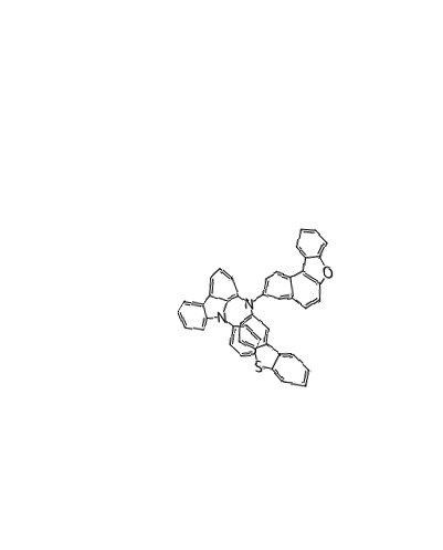 c1ccc(-n2c3ccccc3c3cccc(N(c4ccc5c(ccc6oc7ccccc7c65)c4)c4ccc5sc6ccccc6c5c4)c32)cc1